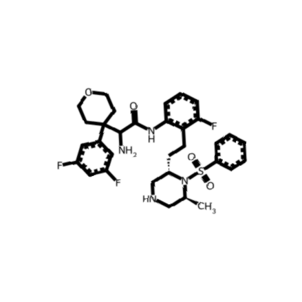 C[C@H]1CNC[C@H](CCc2c(F)cccc2NC(=O)C(N)C2(c3cc(F)cc(F)c3)CCOCC2)N1S(=O)(=O)c1ccccc1